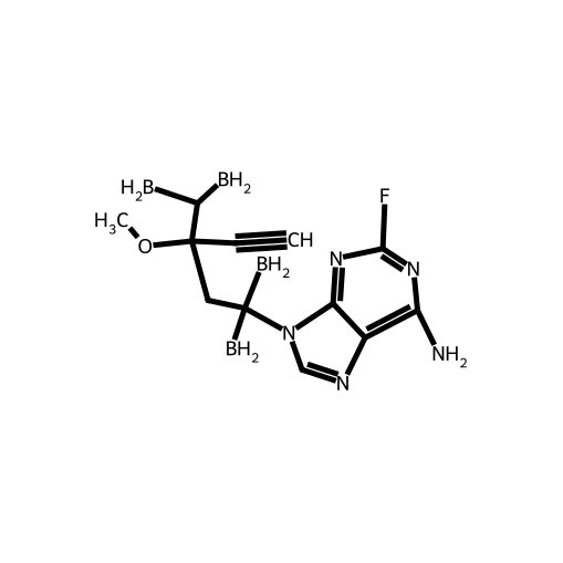 BC(B)C(C#C)(CC(B)(B)n1cnc2c(N)nc(F)nc21)OC